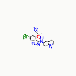 CC(CN(C)C)Oc1cc(Br)cc2ncnc(Nc3ccc4ncccc4c3)c12